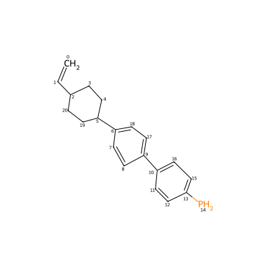 C=CC1CCC(c2ccc(-c3ccc(P)cc3)cc2)CC1